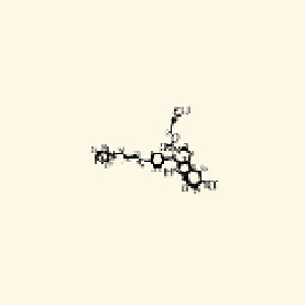 C#CCOC(=O)N1CCc2c([nH]c3ccc(Cl)cc23)C1c1ccc(OCCCn2cncn2)cc1